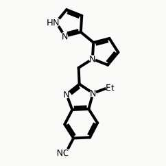 CCn1c(Cn2cccc2-c2cc[nH]n2)nc2cc(C#N)ccc21